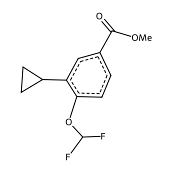 COC(=O)c1ccc(OC(F)F)c(C2CC2)c1